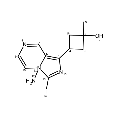 CC1(O)CC(C2=C3C=NC=C[N+]3(N)C(I)=N2)C1